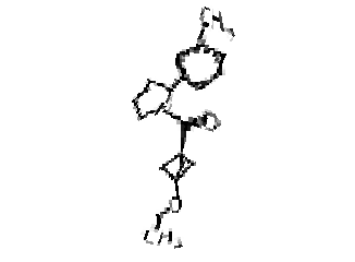 CCOC12CC(C(=O)N3CCCC3c3cccc(C)c3)(C1)C2